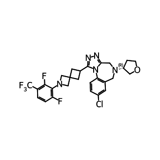 Fc1ccc(C(F)(F)F)c(F)c1N1CC2(CC(c3nnc4n3-c3ccc(Cl)cc3CN([C@@H]3CCOC3)C4)C2)C1